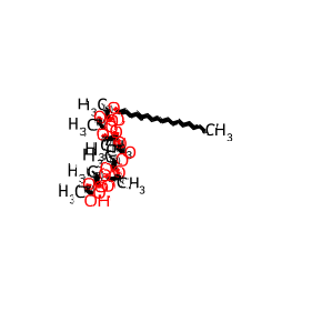 CCCCCCCCCCCCCCCCCC(=O)O[C@@H](C)C(=O)O[C@H](C)C(=O)O[C@H](C)C(=O)O[C@H](C)C(=O)O[C@H](C)C(=O)O[C@H](C)C(=O)O[C@H](C)C(=O)O[C@H](C)C(=O)O